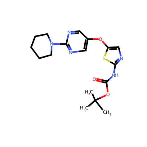 CC(C)(C)OC(=O)Nc1ncc(Oc2cnc(N3CCCCC3)nc2)s1